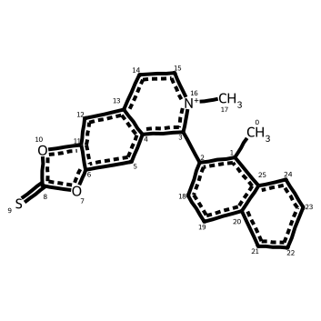 Cc1c(-c2c3cc4oc(=S)oc4cc3cc[n+]2C)ccc2ccccc12